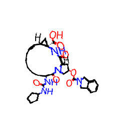 O=C(NC1CCCC1)N[C@H]1CCCCCC=C[C@@H]2C[C@@]2(C(=O)O)NC(=O)[C@@H]2C[C@@H](OC(=O)N3Cc4ccccc4C3)CN2C1=O